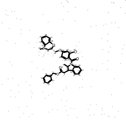 CC1C(CC(=O)OCc2ccccc2)c2ccccc2N1C(=O)c1ccc(OC[C@@H]2CN(C)c3ccccc3O2)cc1Cl